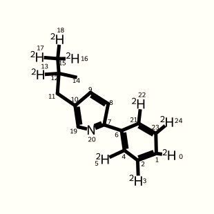 [2H]c1c([2H])c([2H])c(-c2ccc(CC([2H])(C)C([2H])([2H])[2H])cn2)c([2H])c1[2H]